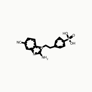 N#Cc1ccc2c(c1)nc(N)n2CCc1ccc(P(=O)(O)O)cc1